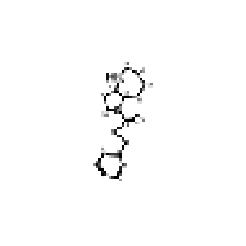 O=C(OCc1ccccc1)N1CCC2NCCCCC21